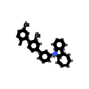 Cc1ccc(C#N)cc1-c1ccc(-c2cccc(-n3c4c(c5ccccc53)C=CCC=C4)c2)cc1C#N